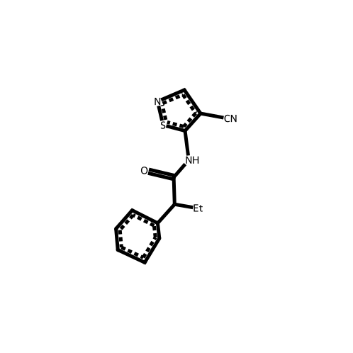 CCC(C(=O)Nc1sncc1C#N)c1ccccc1